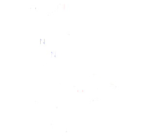 Cc1cc(C(=O)O)nn1-c1cccc(-c2ccccc2OC(F)(F)F)c1